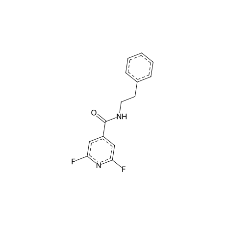 O=C(NCCc1ccccc1)c1cc(F)nc(F)c1